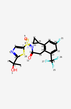 CC(C)(O)c1ncc(/[SH](=O)=N\C(=O)Cc2c(C3CC3)cc(F)cc2C(F)(F)F)s1